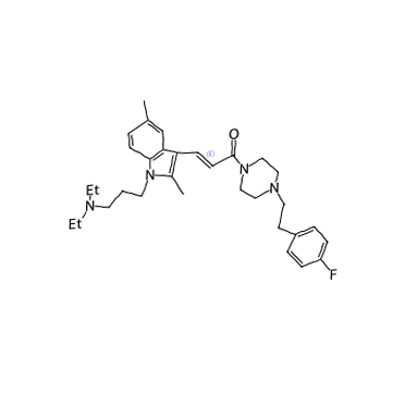 CCN(CC)CCCn1c(C)c(/C=C/C(=O)N2CCN(CCc3ccc(F)cc3)CC2)c2cc(C)ccc21